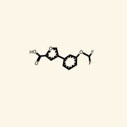 O=C(O)c1cc(-c2cccc(OC(F)F)c2)co1